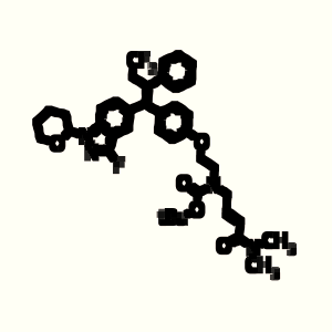 CN(C)C(=O)/C=C/CN(CCOc1ccc(/C(=C(/CC(F)(F)F)c2ccccc2)c2ccc3c(c2)c(F)nn3C2CCCCO2)cc1)C(=O)OC(C)(C)C